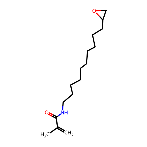 C=C(C)C(=O)NCCCCCCCCCCC1CO1